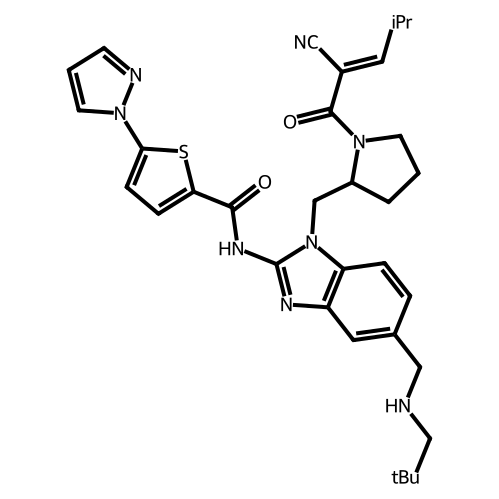 CC(C)C=C(C#N)C(=O)N1CCCC1Cn1c(NC(=O)c2ccc(-n3cccn3)s2)nc2cc(CNCC(C)(C)C)ccc21